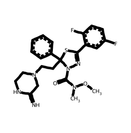 CON(C)C(=O)N1N=C(c2cc(F)ccc2F)SC1(CCN1CCNC(=N)C1)c1ccccc1